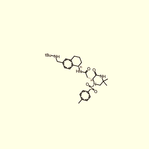 Cc1ccc(S(=O)(=O)N2CC(C)(C)NC(=O)[C@H]2CC(=O)N[C@@H]2CCCc3cc(CNC(C)(C)C)ccc32)cc1